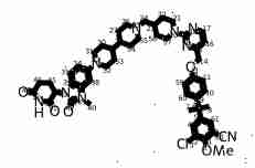 COc1c(Cl)cc(C(C)(C)c2ccc(OCc3ccnc(N4CCC(CN5CCC(C6CCN(c7ccc8c(c7)n(C)c(=O)n8C7CCC(=O)NC7=O)CC6)CC5)CC4)n3)cc2)cc1C#N